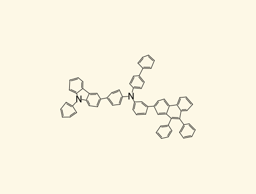 c1ccc(-c2ccc(N(c3ccc(-c4ccc5c(c4)c4ccccc4n5-c4ccccc4)cc3)c3cccc(-c4ccc5c(c4)c(-c4ccccc4)c(-c4ccccc4)c4ccccc45)c3)cc2)cc1